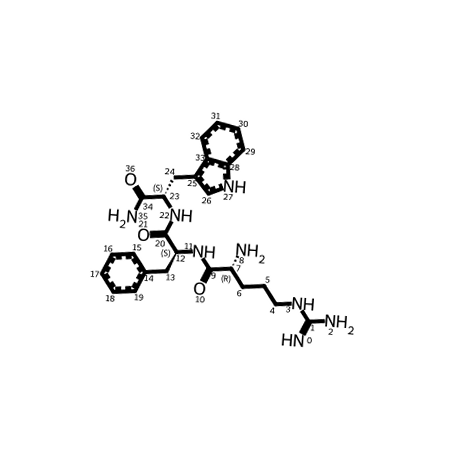 N=C(N)NCCC[C@@H](N)C(=O)N[C@@H](Cc1ccccc1)C(=O)N[C@@H](Cc1c[nH]c2ccccc12)C(N)=O